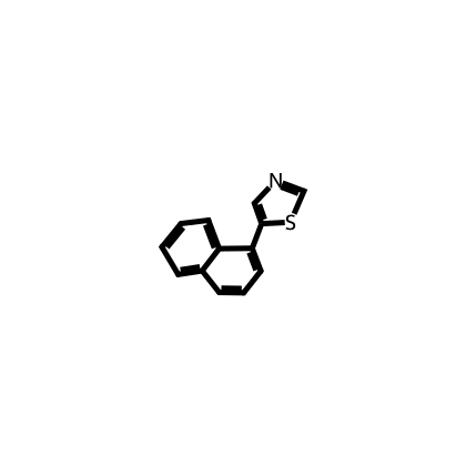 c1ccc2c(-c3cncs3)cccc2c1